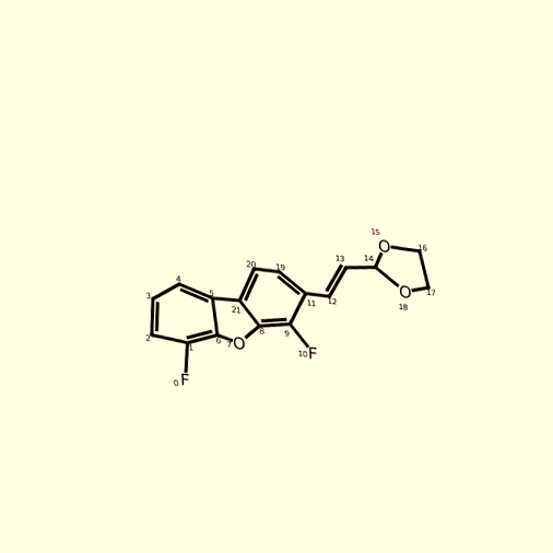 Fc1cccc2c1oc1c(F)c(/C=C/C3OCCO3)ccc12